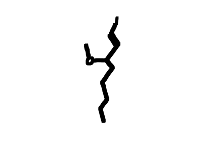 CCCCCC(C=CI)OC